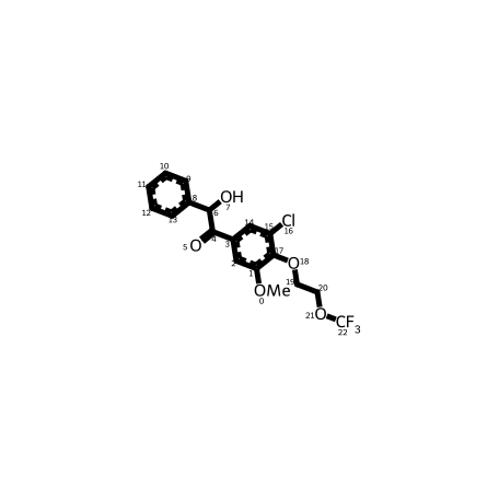 COc1cc(C(=O)C(O)c2ccccc2)cc(Cl)c1OCCOC(F)(F)F